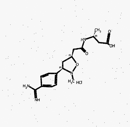 C[C@H](CC(=O)O)NC(=O)C[C@@H]1C[C@H](c2ccc(C(=N)N)cc2)N(C)O1.Cl